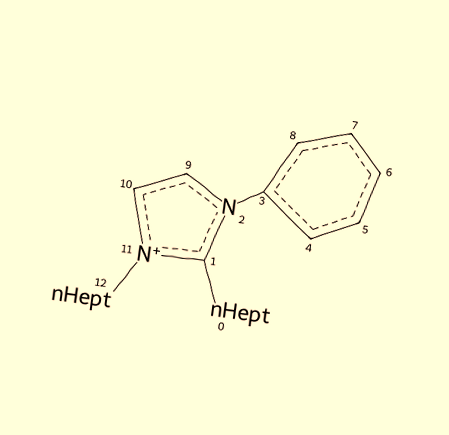 CCCCCCCc1n(-c2ccccc2)cc[n+]1CCCCCCC